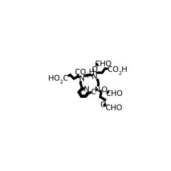 O=COCCC(OC=O)N1CCN(C(CCC(=O)O)OC=O)CCN(C(CCC(=O)O)C(=O)O)Cc2cccc(n2)C1